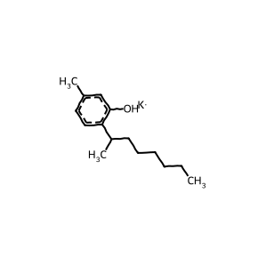 CCCCCCC(C)c1ccc(C)cc1O.[K]